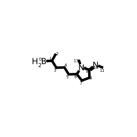 BC(C)CCCC1CC/C(=N\C)N1C